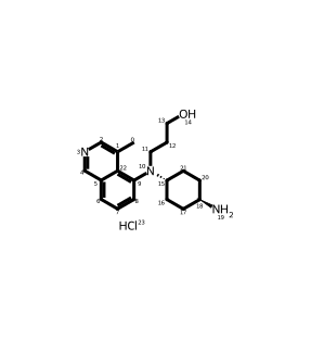 Cc1cncc2cccc(N(CCCO)[C@H]3CC[C@H](N)CC3)c12.Cl